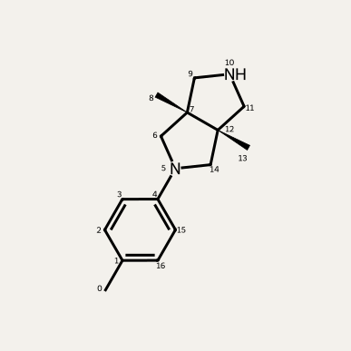 Cc1ccc(N2C[C@]3(C)CNC[C@]3(C)C2)cc1